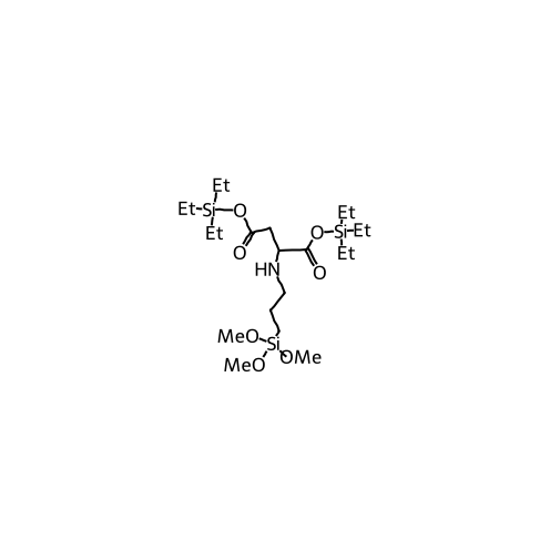 CC[Si](CC)(CC)OC(=O)CC(NCCC[Si](OC)(OC)OC)C(=O)O[Si](CC)(CC)CC